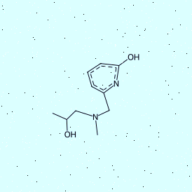 CC(O)CN(C)Cc1cccc(O)n1